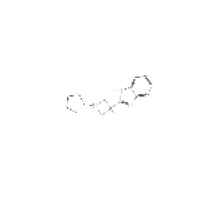 CC1(c2nc3ccccc3[nH]2)CN(C2CCCC2)C1